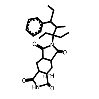 CCC(c1ccccc1)C(C)C(CC)(CC)N1C(=O)C2CC3C(=O)NC(=O)[C@@H]3CC2C1=O